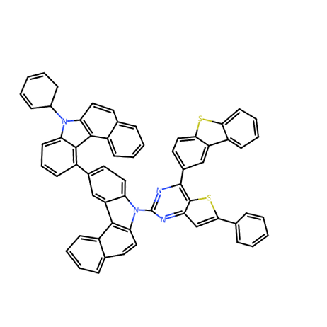 C1=CCC(n2c3cccc(-c4ccc5c(c4)c4c6ccccc6ccc4n5-c4nc(-c5ccc6sc7ccccc7c6c5)c5sc(-c6ccccc6)cc5n4)c3c3c4ccccc4ccc32)C=C1